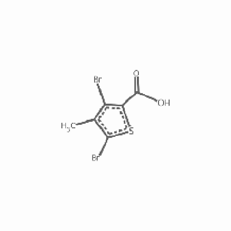 Cc1c(Br)sc(C(=O)O)c1Br